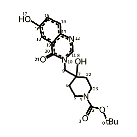 CC(C)(C)OC(=O)N1CCC(O)(Cn2cnc3ccc(O)cc3c2=O)CC1